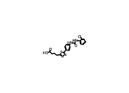 O=C(O)CCCc1nnc(-c2ccc(NC(=O)Nc3ccccc3Cl)cc2)s1